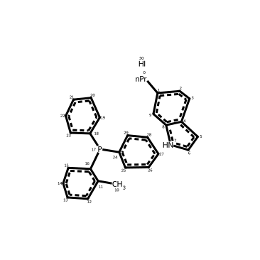 CCCc1ccc2cc[nH]c2c1.Cc1ccccc1P(c1ccccc1)c1ccccc1.I